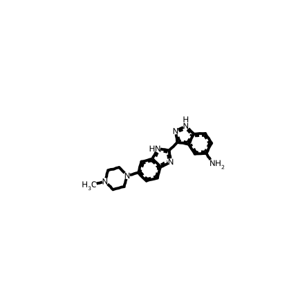 CN1CCN(c2ccc3nc(-c4n[nH]c5ccc(N)cc45)[nH]c3c2)CC1